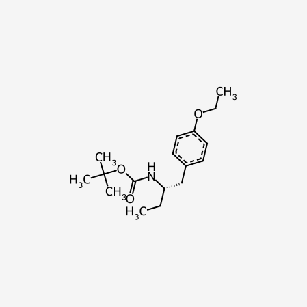 CCOc1ccc(C[C@H](CC)NC(=O)OC(C)(C)C)cc1